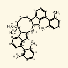 Cc1cccc(C)c1-c1cccc2c1C=C1[SiH2]C3=Cc4c(-c5c(C)cccc5C)cccc4[CH]3[Hf]([CH3])([CH3])[CH2]CCC12